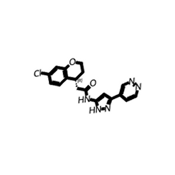 O=C(C[C@H]1CCOc2cc(Cl)ccc21)Nc1cc(-c2ccnnc2)n[nH]1